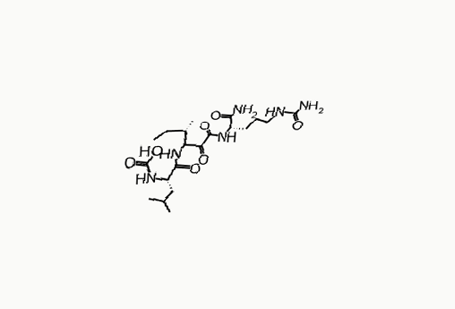 CC[C@H](C)C(NC(=O)[C@H](CC(C)C)NC(=O)O)C(=O)C(=O)N[C@@H](CCCNC(N)=O)C(N)=O